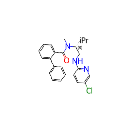 CC(C)[C@H](CNc1ccc(Cl)cn1)N(C)C(=O)c1ccccc1-c1ccccc1